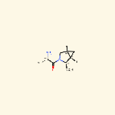 CC(C)(C)[C@H](N)C(=O)N1C[C@@H]2C[C@@H]2[C@H]1C(=O)O